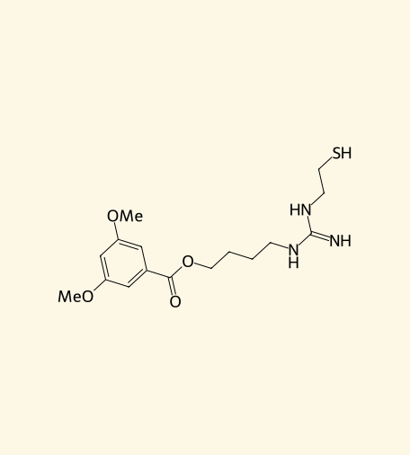 COc1cc(OC)cc(C(=O)OCCCCNC(=N)NCCS)c1